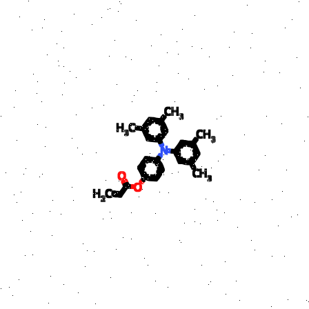 C=CC(=O)Oc1ccc(N(c2cc(C)cc(C)c2)c2cc(C)cc(C)c2)cc1